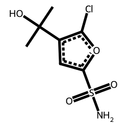 CC(C)(O)c1cc(S(N)(=O)=O)oc1Cl